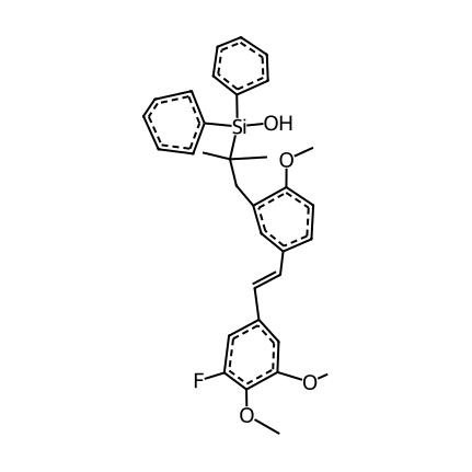 COc1ccc(C=Cc2cc(F)c(OC)c(OC)c2)cc1CC(C)(C)[Si](O)(c1ccccc1)c1ccccc1